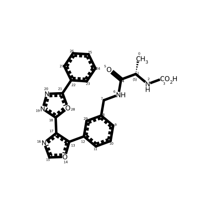 C[C@H](NC(=O)O)C(=O)NCc1cccc(-c2ocnc2-c2nnc(-c3ccccc3)o2)c1